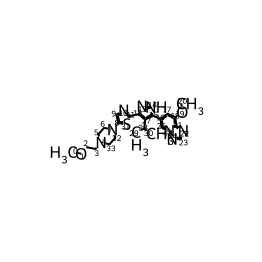 COCCN1CCN(c2cnc(-c3n[nH]c(-c4cc(OC)c5ncnn5c4)c3C(C)C)s2)CC1